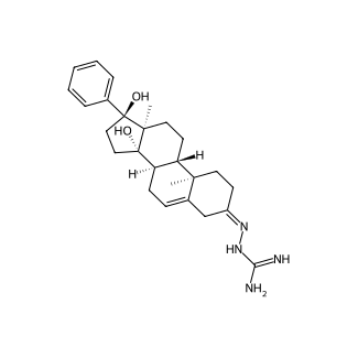 C[C@]12CC[C@H]3[C@@H](CC=C4CC(=NNC(=N)N)CC[C@@]43C)[C@@]1(O)CC[C@]2(O)c1ccccc1